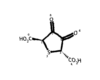 O=C(O)[C@@H]1S[C@@H](C(=O)O)C(=O)C1=O